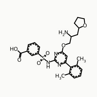 Cc1cccc(C)c1-c1cc(OCC(N)CC2CCCO2)nc(NS(=O)(=O)c2cccc(C(=O)O)c2)n1